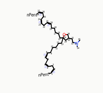 CCCCC/C=C\C/C=C\C/C=C\CCCCCC1(CCCCC/C=C\C/C=C\C/C=C\CCCCC)CC(CCN(C)C)CO1